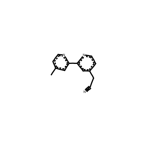 Cc1ccnc(-c2cc(CC#N)ccn2)c1